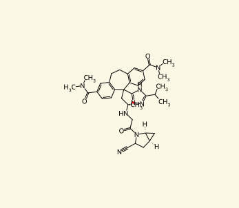 CC(C)c1nnc(C2(C[C@@H](C)NCC(=O)N3C(C#N)C[C@@H]4C[C@@H]43)c3ccc(C(=O)N(C)C)cc3CCc3cc(C(=O)N(C)C)ccc32)[nH]1